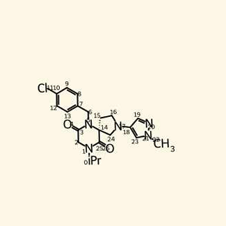 CC(C)N1CC(=O)N(Cc2ccc(Cl)cc2)[C@]2(CCN(c3cnn(C)c3)C2)C1=O